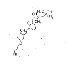 C=C1CC[C@H](OCCCN)C/C1=C/C=C1\CCC[C@@]2(C)C1CC[C@@H]2[C@H](C)CCCC(C)(C)O